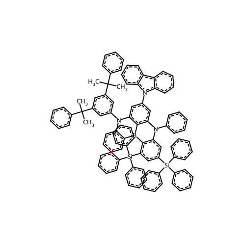 CC(C)(c1ccccc1)c1cc(N2c3ccccc3B3c4c2cc(-n2c5ccccc5c5ccccc52)cc4N(c2ccccc2)c2cc([Si](c4ccccc4)(c4ccccc4)c4ccccc4)cc([Si](c4ccccc4)(c4ccccc4)c4ccccc4)c23)cc(C(C)(C)c2ccccc2)c1